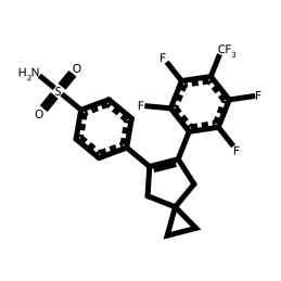 NS(=O)(=O)c1ccc(C2=C(c3c(F)c(F)c(C(F)(F)F)c(F)c3F)CC3(CC3)C2)cc1